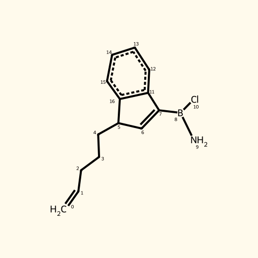 C=CCCCC1C=C(B(N)Cl)c2ccccc21